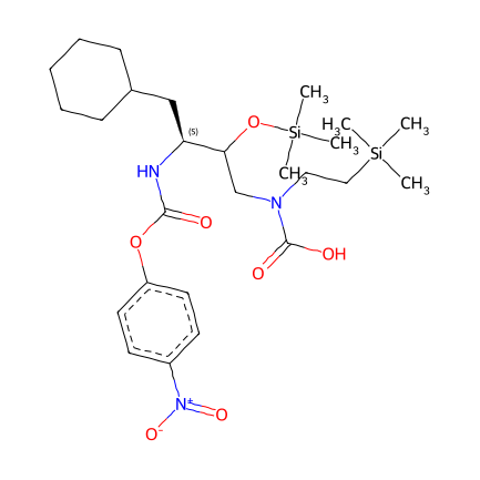 C[Si](C)(C)CCN(CC(O[Si](C)(C)C)[C@H](CC1CCCCC1)NC(=O)Oc1ccc([N+](=O)[O-])cc1)C(=O)O